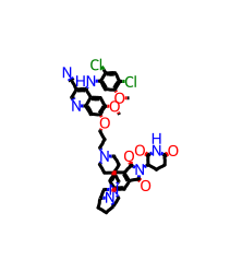 COc1cc(Nc2c(C#N)cnc3cc(OCCCN4CCC(CN5CC6CCC(C5)N6c5ccc6c(c5)C(=O)N(C5CCC(=O)NC5=O)C6=O)CC4)c(OC)cc23)c(Cl)cc1Cl